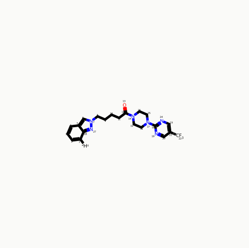 [2H]c1cccc2cn(CCCCC(=O)N3CCN(c4ncc(C(F)(F)F)cn4)CC3)nc12